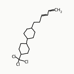 C=C/C=C/CCC1CCC(C2CCC(C(Cl)(Cl)Cl)CC2)CC1